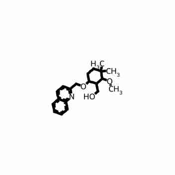 COC1C(CO)C(OCc2ccc3ccccc3n2)CCC1(C)C